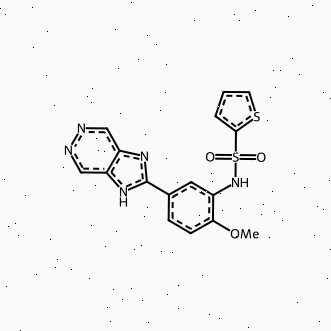 COc1ccc(-c2nc3cnncc3[nH]2)cc1NS(=O)(=O)c1cccs1